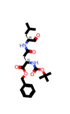 CC(C)C[C@H](C=O)NC(=O)C[C@H](NC(=O)OC(C)(C)C)C(=O)OCc1ccccc1